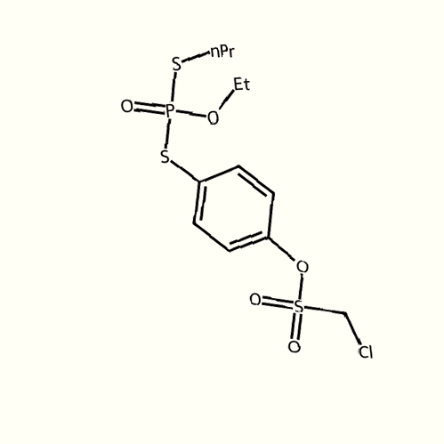 CCCSP(=O)(OCC)Sc1ccc(OS(=O)(=O)CCl)cc1